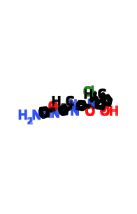 Cc1cccc2c(O)cc3c(c12)[C@H](CCl)CN3C(=O)c1ccc2c(c1)nc(-c1ccc(NC(=O)c3ccc(N)cc3)cc1)n2C